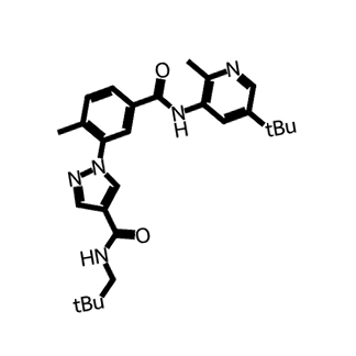 Cc1ccc(C(=O)Nc2cc(C(C)(C)C)cnc2C)cc1-n1cc(C(=O)NCC(C)(C)C)cn1